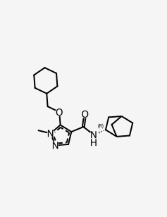 Cn1ncc(C(=O)N[C@@H]2CC3CCC2C3)c1OCC1CCCCC1